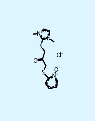 Cn1cc[n+](C)c1SCC(=O)CSc1cccc[n+]1[O-].[Cl-]